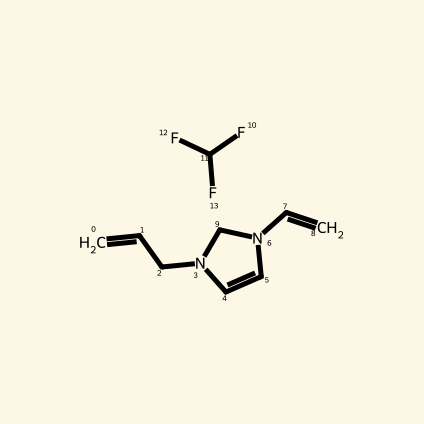 C=CCN1C=CN(C=C)C1.FC(F)F